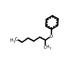 CCCCCC(C)Oc1ccccc1